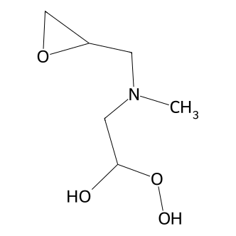 CN(CC(O)OO)CC1CO1